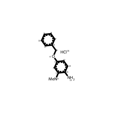 CNc1cc(OCc2ccccc2)ccc1N.Cl